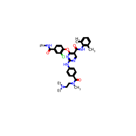 CCN(CC)CCN(C)C(=O)c1ccc(Nc2ncc(C(=O)Nc3c(C)cccc3C)c(Oc3ccc(C(=O)NC(C)C)cc3Cl)n2)cc1